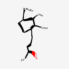 CCC(=O)C=Cc1ccc(OC)c(OC)c1OC